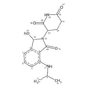 CC(C)Nc1cccc2c1C(=O)N(C1CCC(=O)NC1=O)C2O